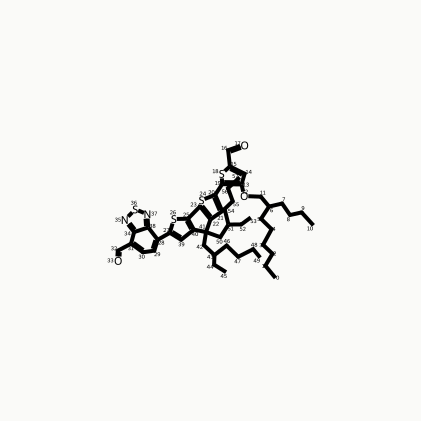 CCCCCCC(CCCC)COc1cc(C=O)sc1-c1cc2c(s1)-c1sc(-c3ccc(C=O)c4nsnc34)cc1C2(CC(CC)CCCC)CC(CC)CCCC